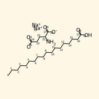 CCCCCCCCCCCCCCCCCC(=O)O.NC(CCC(=O)[O-])C(=O)[O-].[Na+].[Na+]